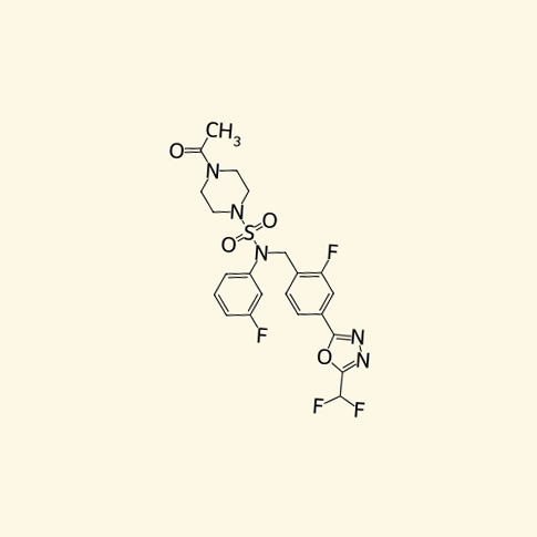 CC(=O)N1CCN(S(=O)(=O)N(Cc2ccc(-c3nnc(C(F)F)o3)cc2F)c2cccc(F)c2)CC1